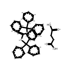 O=C(O)CCC(=O)O.O=C(SC(c1ccccc1)(c1ccccc1)c1ccccc1)SC(c1ccccc1)(c1ccccc1)c1ccccc1